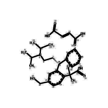 CC(C)N(CC[C@H](c1ccccc1)c1cc(CO)ccc1C(C)(C)C(=O)O)C(C)C.O=C(O)C=CC(=O)O